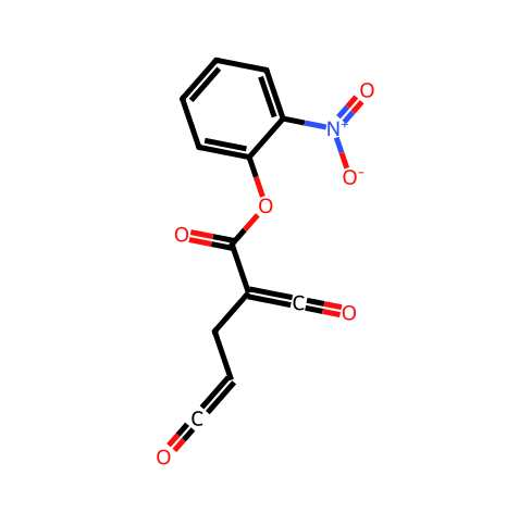 O=C=CCC(=C=O)C(=O)Oc1ccccc1[N+](=O)[O-]